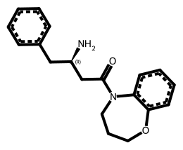 N[C@@H](CC(=O)N1CCCOc2ccccc21)Cc1ccccc1